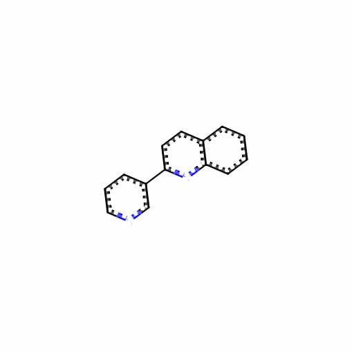 [c]1cc(-c2cccnc2)nc2ccccc12